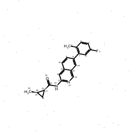 Cc1ccc(F)cc1-c1ccc2cc(NC(=O)[C@H]3C[C@H]3C)ncc2c1